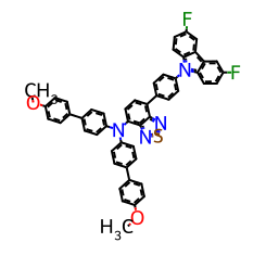 COc1ccc(-c2ccc(N(c3ccc(-c4ccc(OC)cc4)cc3)c3ccc(-c4ccc(-n5c6ccc(F)cc6c6cc(F)ccc65)cc4)c4nsnc34)cc2)cc1